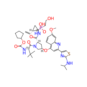 C=C[C@@H]1C[C@]1(NC(=O)[C@@H]1C[C@@H](Oc2cc(-c3csc(NC(C)C)n3)nc3cc(OC)ccc23)CN1C(=O)[C@@H](NC(=O)OC1CCCC1)C(C)(C)C)P(=O)(O)CCO